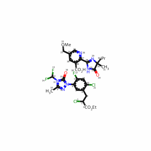 CCOC(=O)C(Cl)Cc1cc(-n2nc(C)n(C(F)F)c2=O)c(F)cc1Cl.COCc1cnc(C2=NC(C)(C(C)C)C(=O)N2)c(C(=O)O)c1